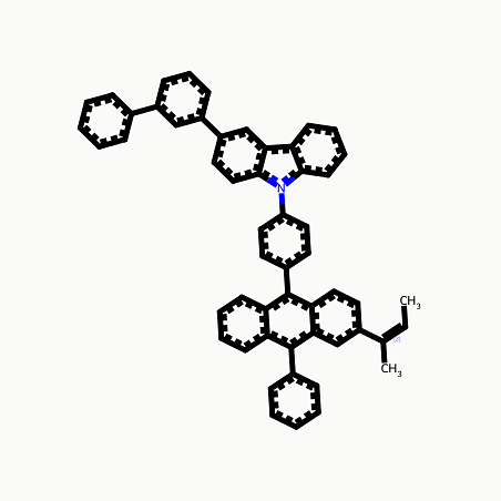 C/C=C(/C)c1ccc2c(-c3ccc(-n4c5ccccc5c5cc(-c6cccc(-c7ccccc7)c6)ccc54)cc3)c3ccccc3c(-c3ccccc3)c2c1